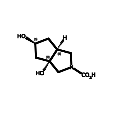 O=C(O)N1C[C@@H]2C[C@H](O)C[C@]2(O)C1